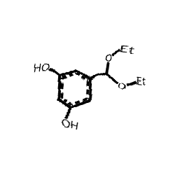 CCOC(OCC)c1cc(O)cc(O)c1